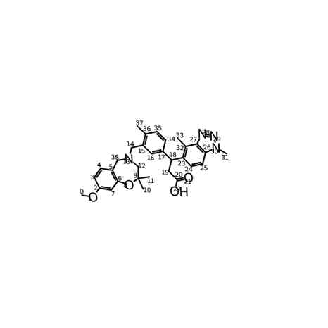 COc1ccc2c(c1)OC(C)(C)CN(Cc1cc(C(CC(=O)O)c3ccc4c(nnn4C)c3C)ccc1C)C2